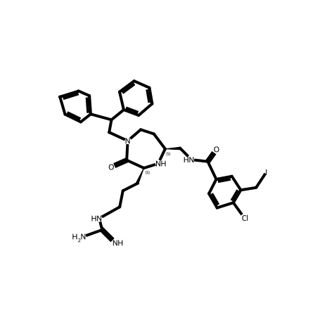 N=C(N)NCCC[C@@H]1N[C@H](CNC(=O)c2ccc(Cl)c(CI)c2)CCN(CC(c2ccccc2)c2ccccc2)C1=O